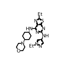 CCc1nc2c(N[C@H]3CC[C@H](N4CCOCC4)CC3)nc(Nc3cnn(CC)c3)nc2s1